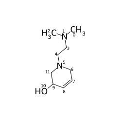 CN(C)CCN1CC=CC(O)C1